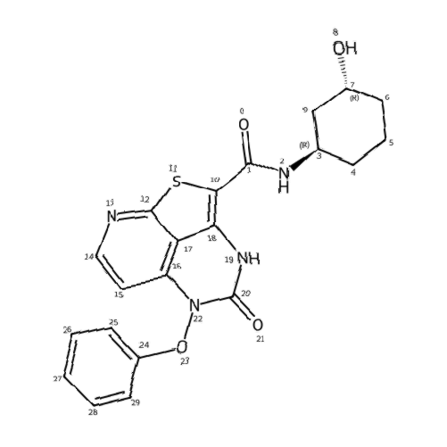 O=C(N[C@@H]1CCC[C@@H](O)C1)c1sc2nccc3c2c1NC(=O)N3Oc1ccccc1